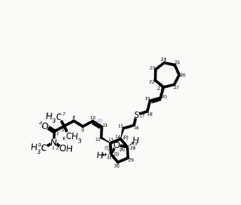 CN(O)C(=O)C(C)(C)CC/C=C\C[C@H]1[C@@H](CCSCC=CC2CCCCCC2)[C@H]2CC[C@@H]1O2